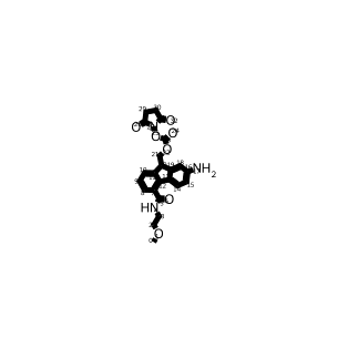 COCCNC(=O)c1cccc2c1-c1ccc(N)cc1C2COC(=O)ON1C(=O)CCC1=O